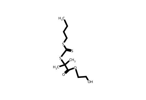 CCCCSC(=S)SC(C)(C)C(=O)OCCO